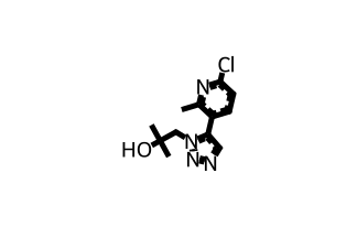 Cc1nc(Cl)ccc1-c1cnnn1CC(C)(C)O